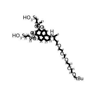 CC(CCCOCCOCCOCCOCCOCC(C)(C)C)Nc1ccc2ccc3c(S(=O)(=O)N(C)CCS(=O)(=O)O)cc(S(=O)(=O)N(C)CCS(=O)(=O)O)c4ccc1c2c34